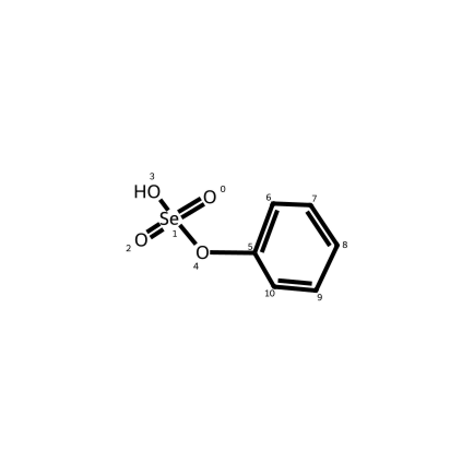 O=[Se](=O)(O)Oc1ccccc1